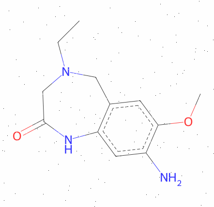 CCN1CC(=O)Nc2cc(N)c(OC)cc2C1